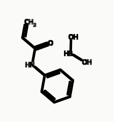 C=CC(=O)Nc1ccccc1.OBO